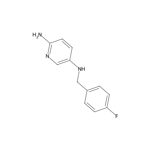 Nc1ccc(NCc2ccc(F)cc2)cn1